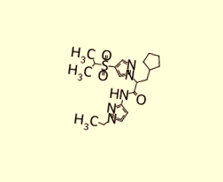 CCn1ccc(NC(=O)C(CC2CCCC2)n2cc(S(=O)(=O)C(C)C)cn2)n1